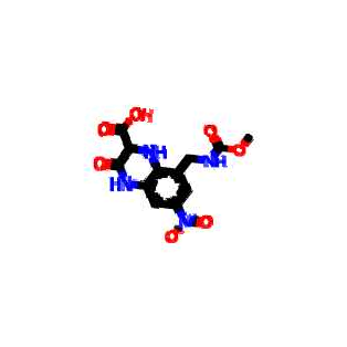 COC(=O)NCc1cc([N+](=O)[O-])cc2c1NC(C(=O)O)C(=O)N2